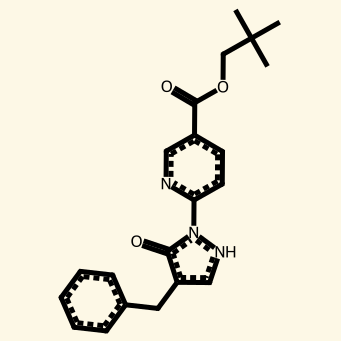 CC(C)(C)COC(=O)c1ccc(-n2[nH]cc(Cc3ccccc3)c2=O)nc1